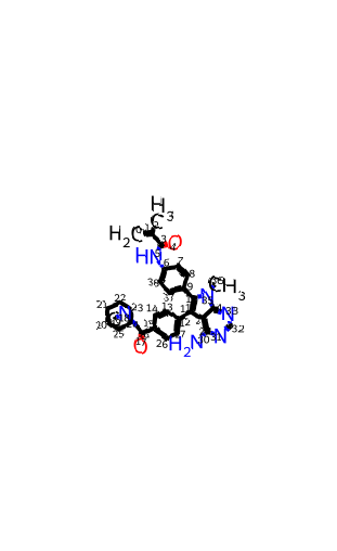 C=C(C)C(=O)Nc1ccc(-c2c(-c3ccc(C(=O)N4CC5CCC4CC5)cc3)c3c(N)ncnc3n2C)cc1